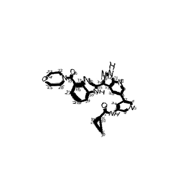 O=C(Nc1cncc(-c2cnc3[nH]nc(-c4nc5c(C(=O)N6CCOCC6)cccc5[nH]4)c3c2)c1)C1CC1